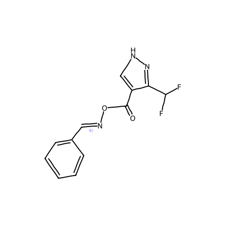 O=C(O/N=C/c1ccccc1)c1c[nH]nc1C(F)F